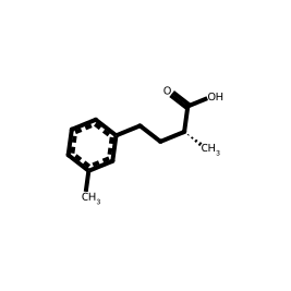 Cc1cccc(CC[C@@H](C)C(=O)O)c1